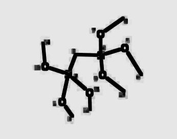 CO[Si](C[Si](OC)(OC)OC)(OC)OC